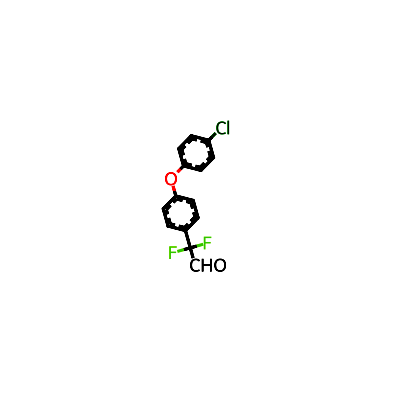 O=CC(F)(F)c1ccc(Oc2ccc(Cl)cc2)cc1